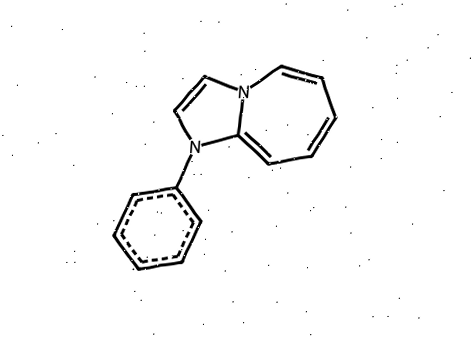 [c]1ccc(N2C=CN3C=CC=CC=C32)cc1